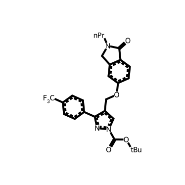 CCCN1Cc2cc(OCc3cn(C(=O)OC(C)(C)C)nc3-c3ccc(C(F)(F)F)cc3)ccc2C1=O